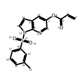 C=CC(=O)Oc1cnc2c(ccn2S(=O)(=O)c2cccc(C)c2)c1